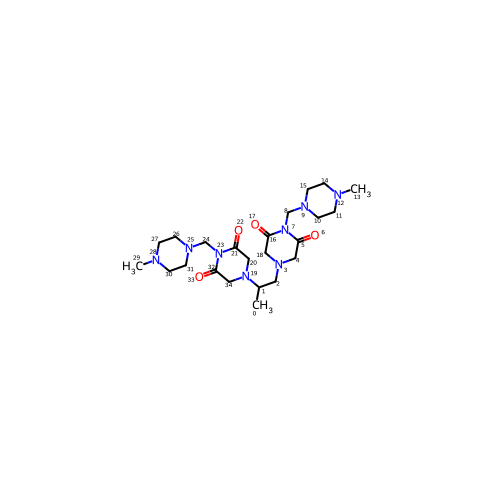 CC(CN1CC(=O)N(CN2CCN(C)CC2)C(=O)C1)N1CC(=O)N(CN2CCN(C)CC2)C(=O)C1